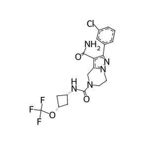 NC(=O)c1c(-c2cccc(Cl)c2)nn2c1CN(C(=O)N[C@H]1C[C@@H](OC(F)(F)F)C1)CC2